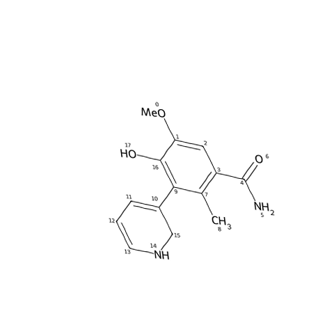 COc1cc(C(N)=O)c(C)c(C2=CC=CNC2)c1O